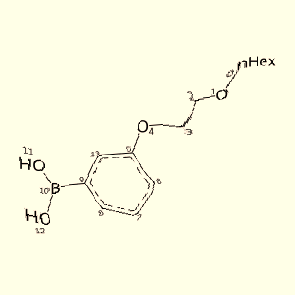 CCCCCCOCCOc1cccc(B(O)O)c1